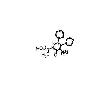 CC(C(=O)O)n1nc(-c2ccccc2)c(-c2ccccc2)c(C#N)c1=O.Cl